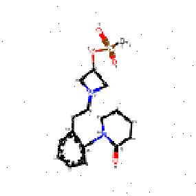 CS(=O)(=O)OC1CN(CCc2ccccc2N2CCCCC2=O)C1